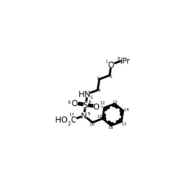 CC(C)OCCCNS(=O)(=O)N(Cc1ccccc1)C(=O)O